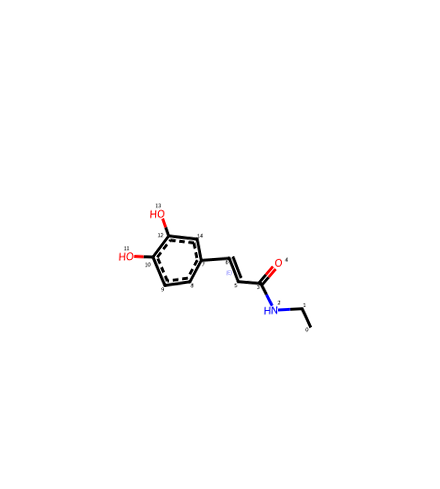 CCNC(=O)/C=C/c1ccc(O)c(O)c1